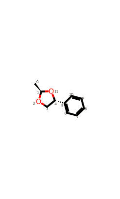 C[C@@H]1OC[C@@H](c2ccccc2)O1